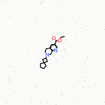 CCOC(=O)c1cnc2c(c1)CCN(C1CC3(CCCC3)C1)C2